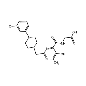 Cc1nc(CC2CCN(c3cccc(Cl)c3)CC2)nc(C(=O)NCC(=O)O)c1O